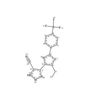 CCc1oc(-c2ccc(C(F)(F)F)cc2)nc1-c1nn[nH]c1C#N